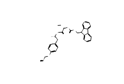 C=CCOc1ccc(C[C@H](NC(=O)[C@H](CC(C)C)NC(=O)OCC2c3ccccc3-c3ccccc32)C(=O)O)cc1